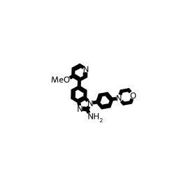 COc1ccncc1-c1ccc2nc(N)n(-c3ccc(N4CCOCC4)cc3)c2c1